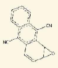 N#Cc1c2c(c(C#N)c3ccccc13)C1OC1C=C2